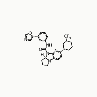 O=C(Nc1cccc(-c2cnco2)c1)N1c2nc(N3CCCC(C(F)(F)F)C3)ccc2N2CCC[C@H]21